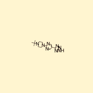 CC(C)(C)N1CCN(c2ncc(-c3nn[nH]n3)cn2)CC1